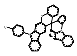 Cc1ccc(-n2c3ccccc3c3cc4c(cc32)Oc2ccccc2C42c3ccccc3-n3c4ccccc4c4cccc2c43)cc1